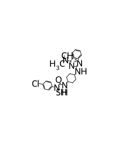 CN(C)c1nc(NC2CCC(NC(=O)N(S)c3ccc(Cl)cc3)CC2)nc2ccccc12